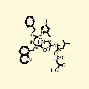 CC(C)C[C@@H](NC(=O)[C@@H](Cc1c[nH]cn1)NC(=O)[C@@H](Cc1cccc2cccnc12)NC(=O)OCc1ccccc1)O/[P+]([O-])=C/C(=O)O